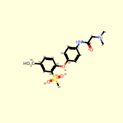 CN(C)CC(=O)Nc1ccc(Oc2ccc(C(=O)O)cc2S(C)(=O)=O)cc1